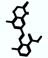 COC(=O)c1cccc(C)c1C=Cc1cc(C)c2c(c1)NC(=O)CO2